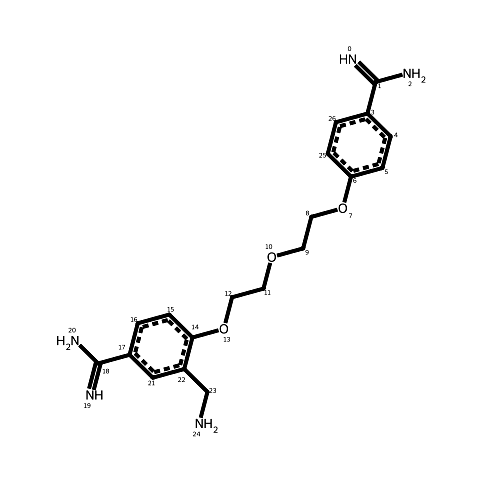 N=C(N)c1ccc(OCCOCCOc2ccc(C(=N)N)cc2CN)cc1